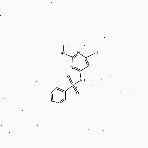 CNc1nc(Cl)cc(NS(=O)(=O)c2cc[c]cc2)n1